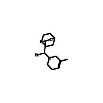 CCC(C1CC2CCN1CC2)N1CCC=C(C)C1